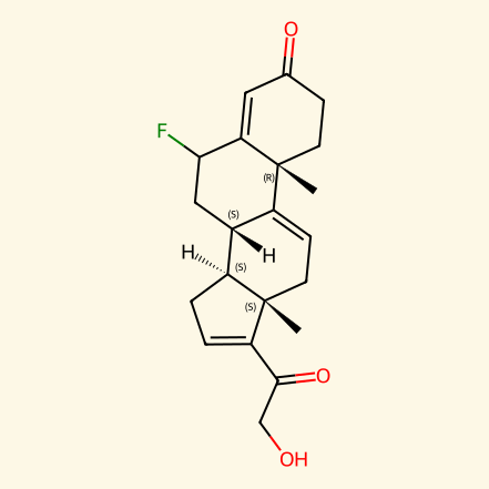 C[C@]12CCC(=O)C=C1C(F)C[C@@H]1C2=CC[C@]2(C)C(C(=O)CO)=CC[C@@H]12